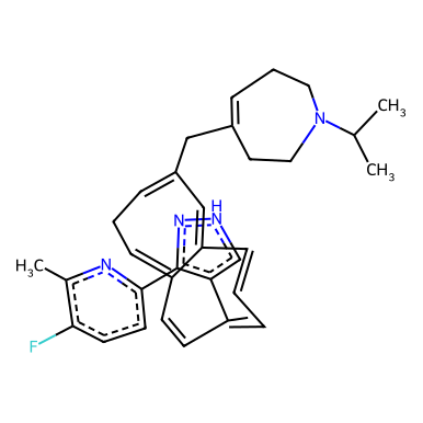 Cc1nc(-c2n[nH]cc2C2=C\C=C\C3=CC(CC4=CCCN(C(C)C)CC4)=CCC=C3/C=C\2)ccc1F